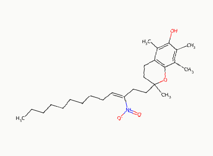 CCCCCCCCCC=C(CCC1(C)CCc2c(C)c(O)c(C)c(C)c2O1)[N+](=O)[O-]